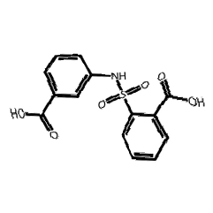 O=C(O)c1cccc(NS(=O)(=O)c2ccccc2C(=O)O)c1